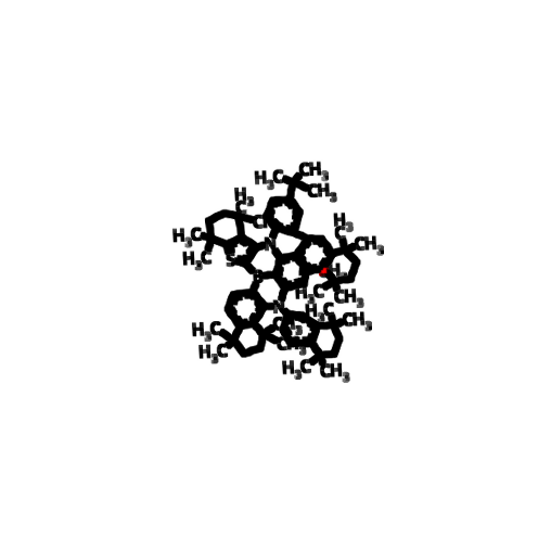 Cc1cc2c3c(c1)N(c1ccc(C(C)(C)C)cc1-c1ccc4c(c1)C(C)(C)CCC4(C)C)c1c(sc4c1C(C)(C)CCC4(C)C)B3c1ccc3c(c1N2c1ccc2c(c1)C(C)(C)CCC2(C)C)C(C)(C)CCC3(C)C